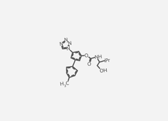 Cc1ccc(-c2cc(OC(=O)NC(CO)C(C)C)cc(-n3cnnn3)c2)cc1